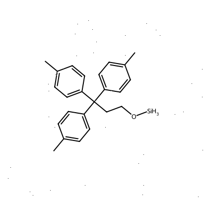 Cc1ccc(C(CCO[SiH3])(c2ccc(C)cc2)c2ccc(C)cc2)cc1